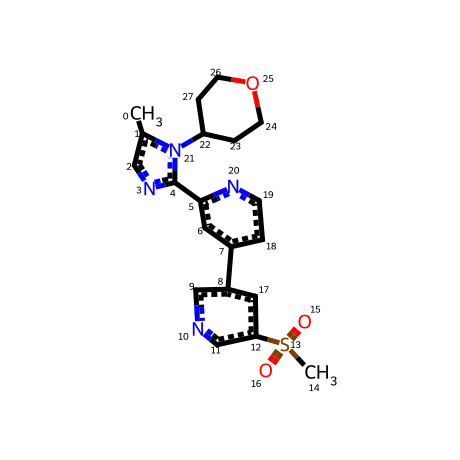 Cc1cnc(-c2cc(-c3cncc(S(C)(=O)=O)c3)ccn2)n1C1CCOCC1